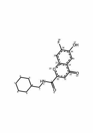 O=C(NCC1CCCCC1)c1cc(=O)c2cc(O)c(F)cc2o1